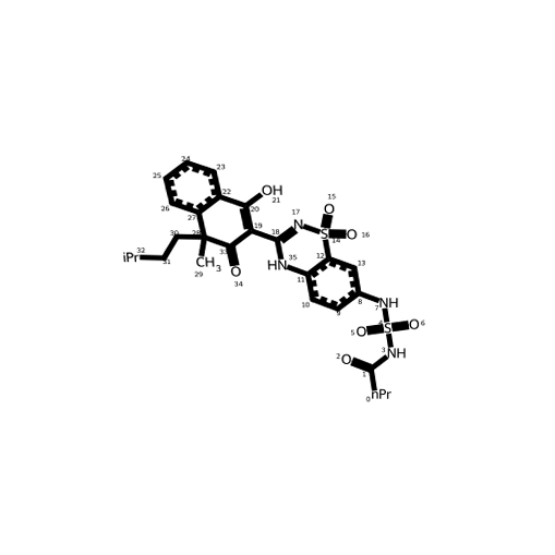 CCCC(=O)NS(=O)(=O)Nc1ccc2c(c1)S(=O)(=O)N=C(C1=C(O)c3ccccc3C(C)(CCC(C)C)C1=O)N2